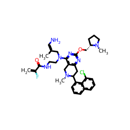 C=C(F)C(=O)NCCN(C/C(C)=C\N)c1nc(OC[C@@H]2CCCN2C)nc2c1CN(C)C(c1cccc3cccc(Cl)c13)C2